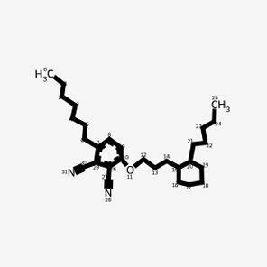 CCCCCCCc1ccc(OCCCC2CCCCC2CCCCC)c(C#N)c1C#N